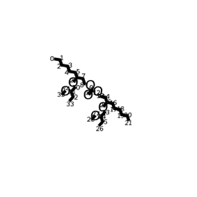 CCCCCCC(CCOC(=O)OCCC(CCCCCC)OCC(CC)OC)OCC(CC)OC